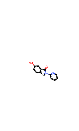 O=c1c2cc(O)ccc2[se]n1-c1ccccn1